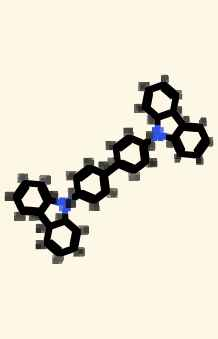 C1=CC2c3ccccc3N(c3ccc(-c4ccc(N5c6ccccc6C6C=CC=CC65)cc4)cc3)C2C=C1